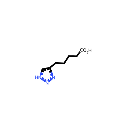 O=C(O)CCCCc1c[nH]nn1